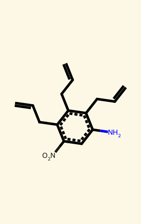 C=CCc1c(N)cc([N+](=O)[O-])c(CC=C)c1CC=C